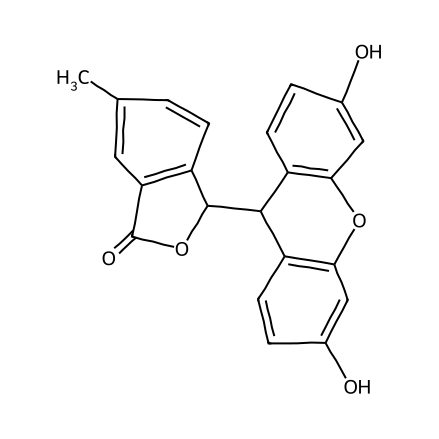 Cc1ccc2c(c1)C(=O)OC2C1c2ccc(O)cc2Oc2cc(O)ccc21